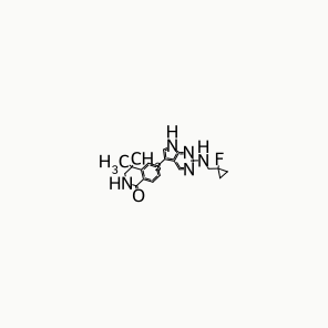 CC1(C)CNC(=O)c2ccc(-c3c[nH]c4nc(NCC5(F)CC5)ncc34)cc21